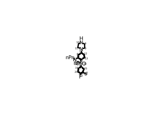 CCCN(CCC)c1cc(N2CCNCC2)ccc1S(=O)(=O)c1ccc(F)c(F)c1